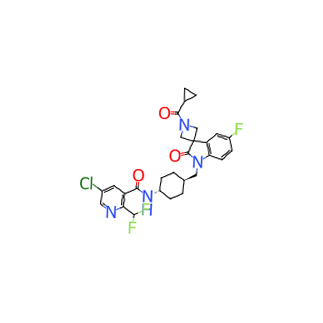 O=C(N[C@H]1CC[C@H](CN2C(=O)C3(CN(C(=O)C4CC4)C3)c3cc(F)ccc32)CC1)c1cc(Cl)cnc1C(F)F